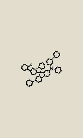 c1ccc(-c2cccc(N(c3ccccc3)c3ccc4c(c3)C3(c5cc(-c6ccccc6)ccc5-4)c4ccccc4-c4c3ccc3c4sc4ccccc43)c2)cc1